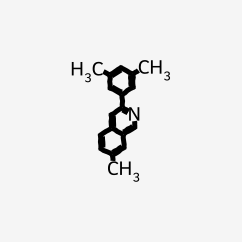 Cc1cc(C)cc(-c2cc3ccc(C)cc3cn2)c1